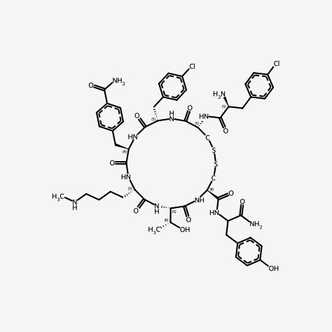 CNCCCC[C@@H]1NC(=O)[C@@H](Cc2ccc(C(N)=O)cc2)NC(=O)[C@H](Cc2ccc(Cl)cc2)NC(=O)[C@H](NC(=O)[C@@H](N)Cc2ccc(Cl)cc2)CSSC[C@@H](C(=O)NC(Cc2ccc(O)cc2)C(N)=O)NC(=O)[C@H]([C@@H](C)O)NC1=O